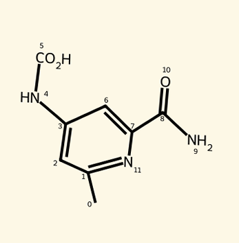 Cc1cc(NC(=O)O)cc(C(N)=O)n1